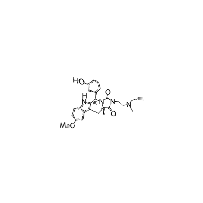 C#CCN(C)CCN1C(=O)N2[C@H](c3cccc(O)c3)c3[nH]c4ccc(OC)cc4c3C[C@@]2(C)C1=O